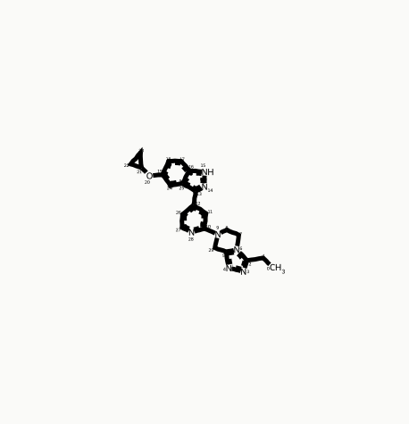 CCc1nnc2n1CCN(c1cc(-c3n[nH]c4ccc(OC5CC5)cc34)ccn1)C2